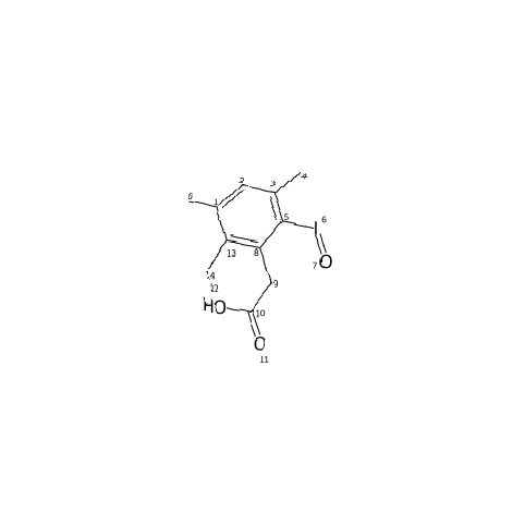 Cc1cc(C)c(I=O)c(CC(=O)O)c1C